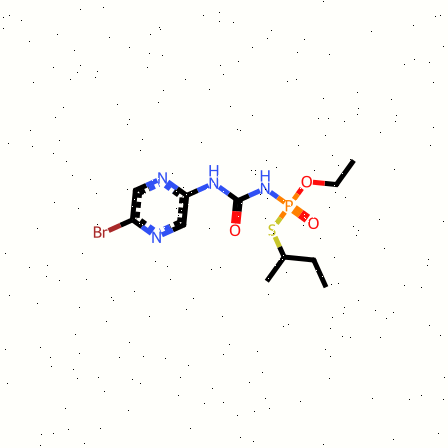 CCOP(=O)(NC(=O)Nc1cnc(Br)cn1)SC(C)CC